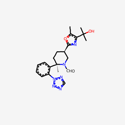 Cc1oc([C@@H]2CC[C@](C)(c3ccccc3-n3ncnn3)N(C=O)C2)nc1C(C)(C)O